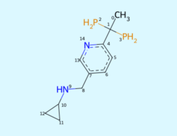 CC(P)(P)c1ccc(CNC2CC2)cn1